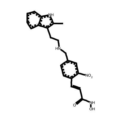 Cc1[nH]c2ccccc2c1CCNCc1ccc(/C=C/C(=O)NO)c([N+](=O)[O-])c1